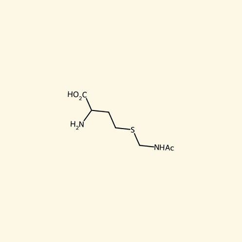 CC(=O)NCSCCC(N)C(=O)O